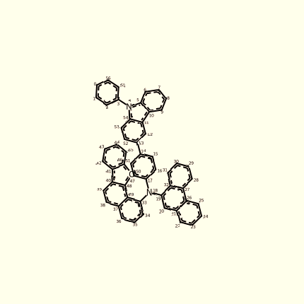 c1ccc(-n2c3ccccc3c3cc(-c4ccc(N(c5cc6ccccc6c6ccccc56)c5cccc6ccc7c8ccccc8oc7c56)cc4)ccc32)cc1